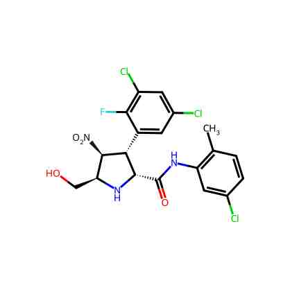 Cc1ccc(Cl)cc1NC(=O)[C@@H]1N[C@@H](CO)[C@@H]([N+](=O)[O-])[C@@H]1c1cc(Cl)cc(Cl)c1F